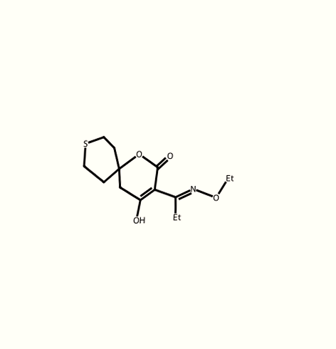 CCON=C(CC)C1=C(O)CC2(CCSCC2)OC1=O